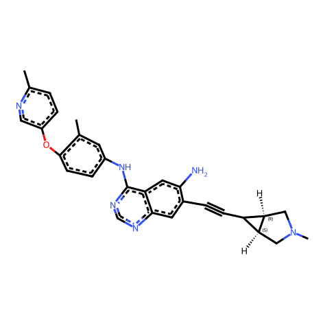 Cc1ccc(Oc2ccc(Nc3ncnc4cc(C#CC5[C@H]6CN(C)C[C@@H]56)c(N)cc34)cc2C)cn1